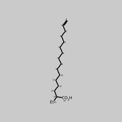 C=CCCCCCCCCCCCCC(CC)C(=O)O